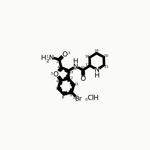 Cl.NC(=O)c1oc2ccc(Br)cc2c1NC(=O)C1CCCCN1